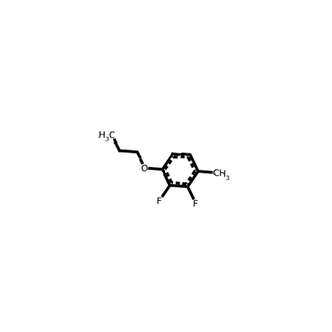 CCCOc1ccc(C)c(F)c1F